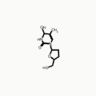 CC1=CN(C2CCC(CO)O2)C(=O)NC1O